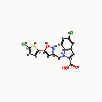 O=C(O)c1cc2cc(Cl)ccc2n1Cc1cc(-c2ccc(Cl)s2)on1